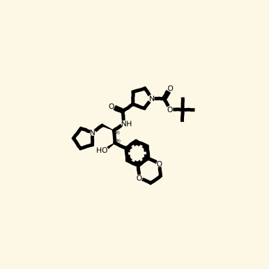 CC(C)(C)OC(=O)N1CCC(C(=O)N[C@H](CN2CCCC2)[C@H](O)c2ccc3c(c2)OCCO3)C1